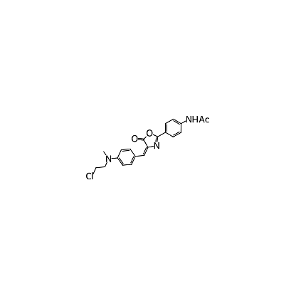 CC(=O)Nc1ccc(C2=NC(=Cc3ccc(N(C)CCCl)cc3)C(=O)O2)cc1